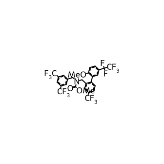 COC(=O)N(Cc1cc(C(F)(F)F)cc(C(F)(F)F)c1)Cc1cc(C(F)(F)F)ccc1-c1cc(C(F)(F)C(F)(F)F)ccc1OC